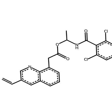 C=Cc1cnc2c(CC(=O)OC(C)NC(=O)c3c(Cl)cccc3Cl)cccc2c1